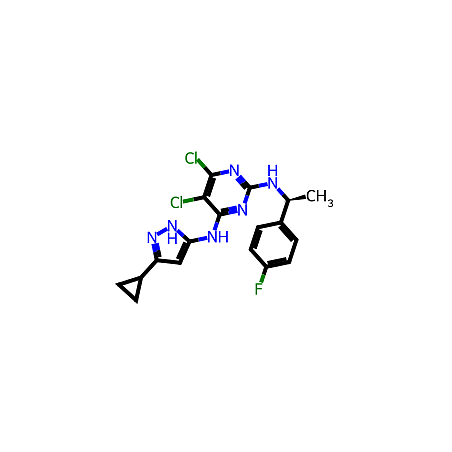 C[C@H](Nc1nc(Cl)c(Cl)c(Nc2cc(C3CC3)n[nH]2)n1)c1ccc(F)cc1